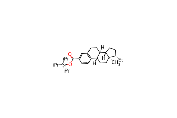 CC[C@H]1CC[C@H]2[C@@H]3CCc4cc(C(=O)O[Si](C(C)C)(C(C)C)C(C)C)ccc4[C@H]3CC[C@]12C